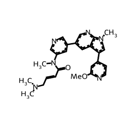 COc1cc(-c2cn(C)c3ncc(-c4cncc(N(C)C(=O)/C=C/CN(C)C)c4)cc23)ccn1